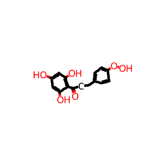 O=C(CCc1ccc(OO)cc1)c1c(O)cc(O)cc1O